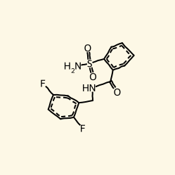 NS(=O)(=O)c1ccccc1C(=O)NCc1cc(F)ccc1F